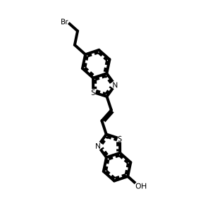 Oc1ccc2nc(C=Cc3nc4ccc(CCBr)cc4s3)sc2c1